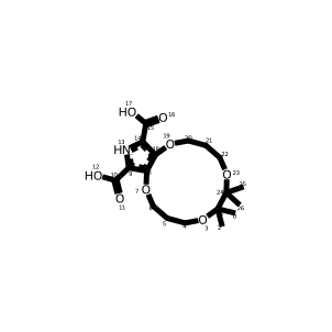 CC1(C)OCCCOc2c(C(=O)O)[nH]c(C(=O)O)c2OCCCOC1(C)C